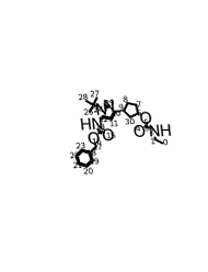 CCNC(=O)O[C@@H]1CC[C@H](c2cc(NC(=O)OCc3ccccc3)n(C(C)(C)C)n2)C1